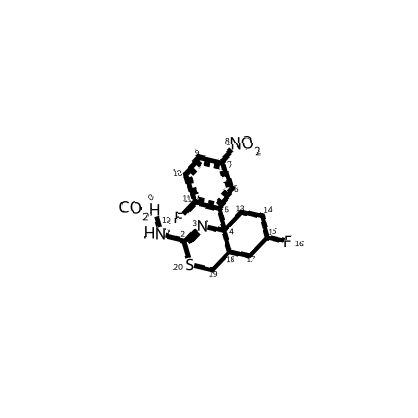 O=C(O)NC1=NC2(c3cc([N+](=O)[O-])ccc3F)CCC(F)CC2CS1